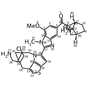 COc1cc(C(=O)N2C[C@H]3CC[C@@H]2[C@@H]3N)cc2nc(-c3cc4scc(CC(CN)CCl)c4n3CC3CC3)n(C)c12